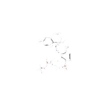 CC(C)(C)OC(=O)N1CC[C@H]1CN1C[C@@]2(CCCc3cc(Cl)ccc32)COc2ccc(C(=O)O)cc21